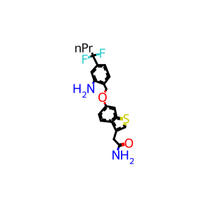 CCCC(F)(F)c1ccc(COc2ccc3c(CC(N)=O)csc3c2)c(N)c1